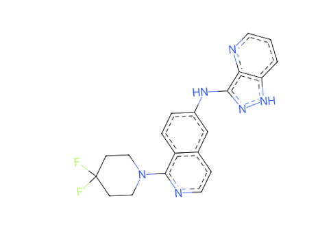 FC1(F)CCN(c2nccc3cc(Nc4n[nH]c5cccnc45)ccc23)CC1